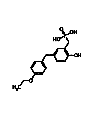 CCOc1ccc(Cc2ccc(O)c(CP(=O)(O)O)c2)cc1